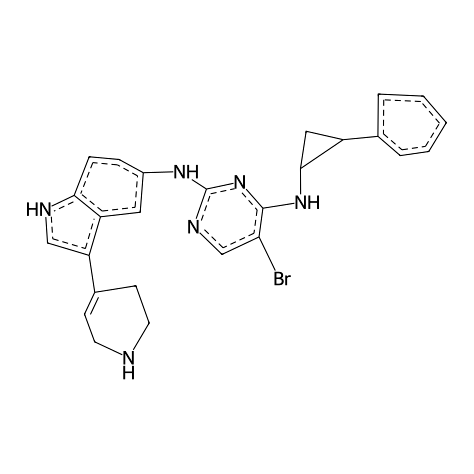 Brc1cnc(Nc2ccc3[nH]cc(C4=CCNCC4)c3c2)nc1NC1CC1c1ccccc1